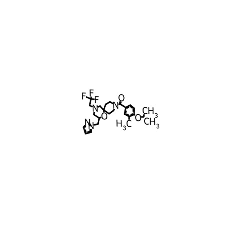 Cc1cc(C(=O)N2CCC3(CC2)CN(CC(F)(F)F)CC(Cn2cccn2)O3)ccc1OC(C)C